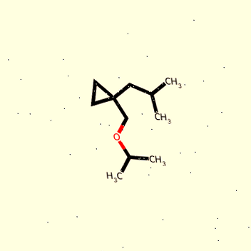 CC(C)CC1(COC(C)C)CC1